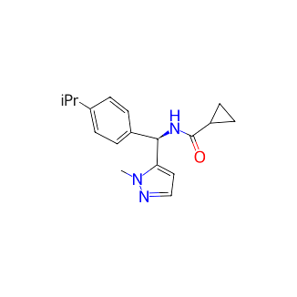 CC(C)c1ccc([C@@H](NC(=O)C2CC2)c2ccnn2C)cc1